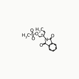 C=C[C@H](COS(C)(=O)=O)N1C(=O)c2ccccc2C1=O